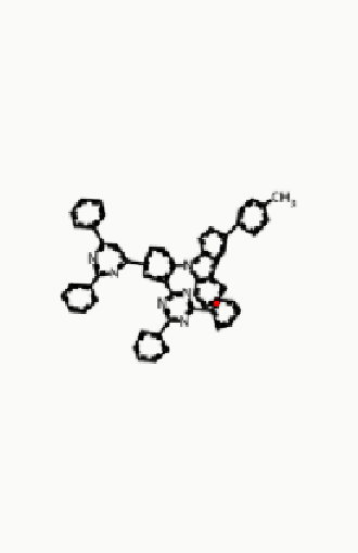 Cc1ccc(-c2ccc3c(c2)c2ccccc2n3-c2ccc(-c3cc(-c4ccccc4)nc(-c4ccccc4)n3)cc2-c2nc(-c3ccccc3)nc(-c3ccccc3)n2)cc1